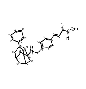 O=C(C=Cc1ccc(CNC23CC4CC(C2)CC(c2ccccc2)(C4)C3)cc1)NO